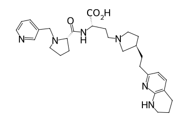 O=C(O)[C@H](CCN1CC[C@@H](CCc2ccc3c(n2)NCCC3)C1)NC(=O)[C@@H]1CCCN1Cc1cccnc1